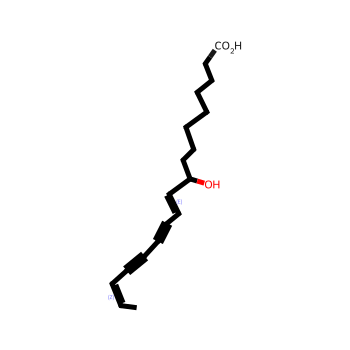 C/C=C\C#CC#C/C=C/C(O)CCCCCCCC(=O)O